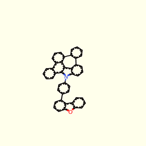 c1ccc2c(c1)-c1cccc3c4ccccc4c4c(c13)c1c-2cccc1n4-c1ccc(-c2cccc3oc4ccccc4c23)cc1